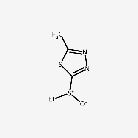 CC[S+]([O-])c1nnc(C(F)(F)F)s1